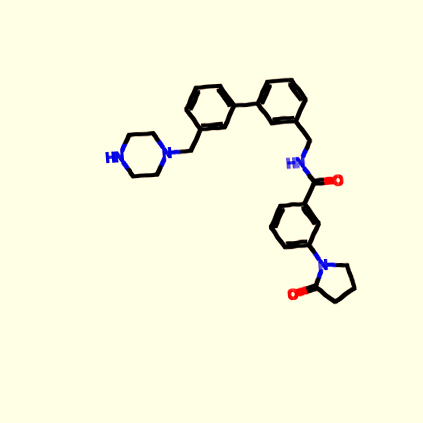 O=C(NCc1cccc(-c2cccc(CN3CCNCC3)c2)c1)c1cccc(N2CCCC2=O)c1